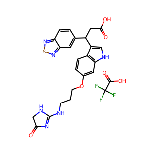 O=C(O)C(F)(F)F.O=C(O)CC(c1ccc2nsnc2c1)c1c[nH]c2cc(OCCCNC3=NC(=O)CN3)ccc12